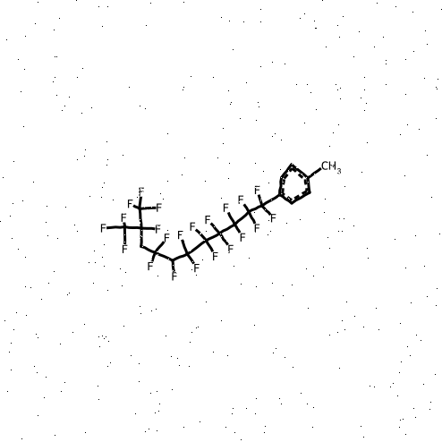 Cc1ccc(C(F)(F)C(F)(F)C(F)(F)C(F)(F)C(F)(F)C(F)(F)C(F)C(F)(F)CC(F)(C(F)(F)F)C(F)(F)F)cc1